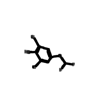 Oc1c(Cl)cc(OC(F)F)cc1Cl